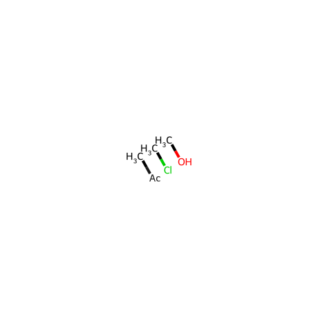 CC(C)=O.CCl.CO